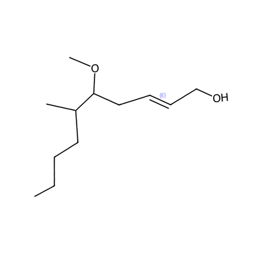 CCCCC(C)C(C/C=C/CO)OC